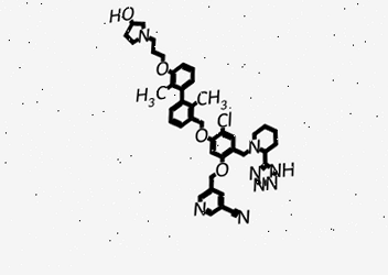 Cc1c(COc2cc(OCc3cncc(C#N)c3)c(CN3CCCCC3c3nnn[nH]3)cc2Cl)cccc1-c1cccc(OCCCN2CCC(O)C2)c1C